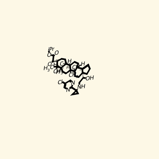 CC(C)OC(=O)C(=O)[C@H]1CC[C@]2(C)[C@H](CC[C@]3(C)[C@@H]2CC[C@@H]2C4=CCC[C@@]4(C(O)CNC4(c5ncc(Cl)cn5)CC4)CC[C@]23C)C1(C)C